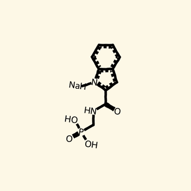 Cn1c(C(=O)NCP(=O)(O)O)cc2ccccc21.[NaH]